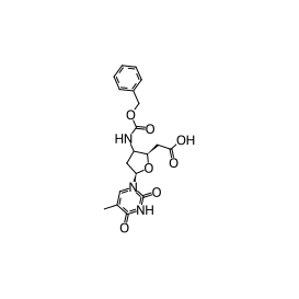 Cc1cn([C@H]2CC(NC(=O)OCc3ccccc3)[C@@H](CC(=O)O)O2)c(=O)[nH]c1=O